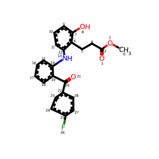 COC(=O)CCc1c(O)cccc1Nc1ccccc1C(=O)c1ccc(F)cc1